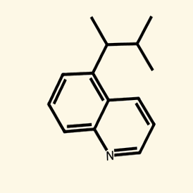 CC(C)C(C)c1cccc2ncccc12